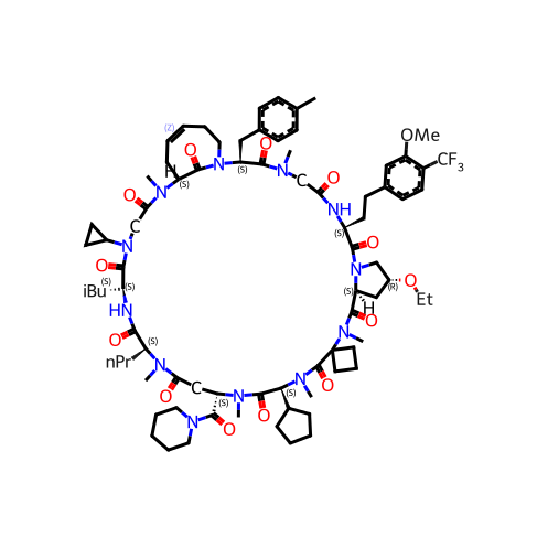 CCC[C@H]1C(=O)N[C@@H]([C@@H](C)CC)C(=O)N(C2CC2)CC(=O)N(C)[C@H]2C/C=C\CCN(C2=O)[C@@H](Cc2ccc(C)cc2)C(=O)N(C)CC(=O)N[C@@H](CCc2ccc(C(F)(F)F)c(OC)c2)C(=O)N2C[C@H](OCC)C[C@H]2C(=O)N(C)C2(CCC2)C(=O)N(C)[C@@H](C2CCCC2)C(=O)N(C)[C@H](C(=O)N2CCCCC2)CC(=O)N1C